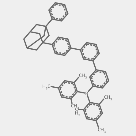 Cc1cc(C)c(B(c2cccc(-c3cccc(-c4ccc(C56CC7CC(CC(c8ccccc8)(C7)C5)C6)cc4)c3)c2)c2c(C)cc(C)cc2C)c(C)c1